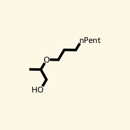 CCCCCCCCOC(C)CO